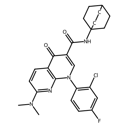 CN(C)c1ccc2c(=O)c(C(=O)NC34CCC(CC3)CC4)cn(-c3ccc(F)cc3Cl)c2n1